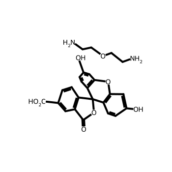 NCCOCCN.O=C(O)c1ccc2c(c1)C(=O)OC21c2ccc(O)cc2Oc2cc(O)ccc21